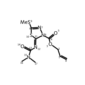 C=CCOC(=O)n1nc(SC)sc1=NC(=O)N(C)C